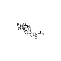 CCN1C(=O)N(Cc2ccc(-c3ccc4c(c3)CN(CC(F)(F)F)C4=O)cc2)C(C)(C)C1=O